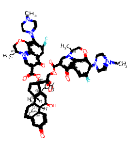 C[C@@H]1COc2c(N3CCN(C)CC3)c(F)cc3c(=O)c(C(=O)O[C@]4(C(=O)COC(=O)c5cn6c7c(c(N8CCN(C)CC8)c(F)cc7c5=O)OC[C@@H]6C)CC[C@H]5[C@@H]6CCC7=CC(=O)C=C[C@]7(C)[C@H]6C(O)C[C@@]54C)cn1c23